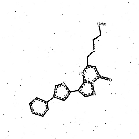 COCCOCc1cc(=O)n2ncc(-c3cc(-c4ccccc4)cs3)c2[nH]1